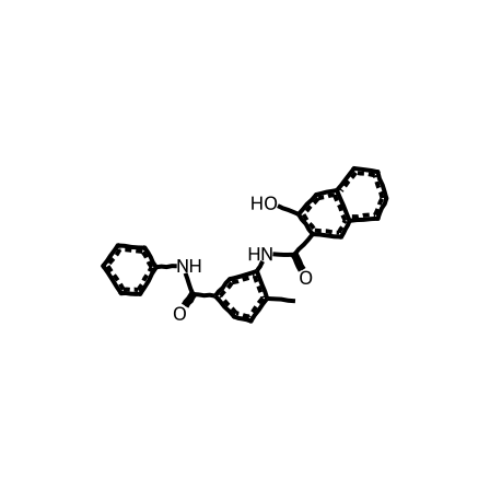 Cc1ccc(C(=O)Nc2ccccc2)cc1NC(=O)c1cc2ccccc2cc1O